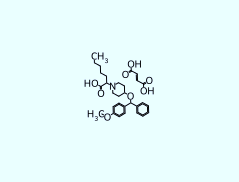 CCCCCC(C(=O)O)N1CCC(OC(c2ccccc2)c2ccc(OC)cc2)CC1.O=C(O)/C=C/C(=O)O